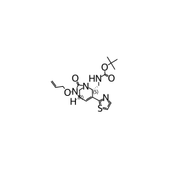 C=CCON1C(=O)N2C[C@H]1C=C(c1nccs1)[C@H]2CNC(=O)OC(C)(C)C